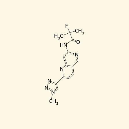 Cn1cc(-c2ccc3cnc(NC(=O)C(C)(C)F)cc3n2)nn1